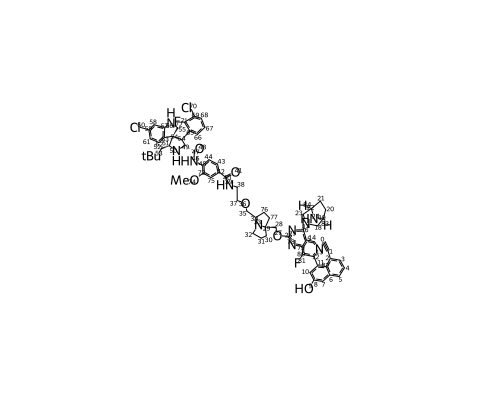 C#Cc1cccc2cc(O)cc(-c3ncc4c(N5C[C@H]6CC[C@@H](C5)N6)nc(OC[C@@]56CCCN5C(COCCNC(=O)c5ccc(NC(=O)[C@@H]7N[C@@H](CC(C)(C)C)[C@@]8(CNc9cc(Cl)ccc98)[C@H]7c7cccc(Cl)c7F)c(OC)c5)CC6)nc4c3F)c12